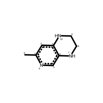 Cc1cc2c(cn1)NCCN2